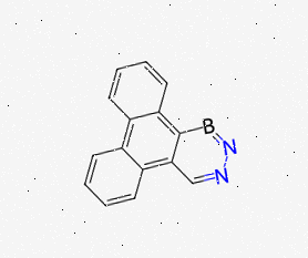 b1nncc2c1c1ccccc1c1ccccc21